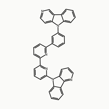 c1cc(-c2cccc(-c3cccc(-n4c5ccccc5c5ncccc54)n3)n2)cc(-n2c3ccccc3c3cnccc32)c1